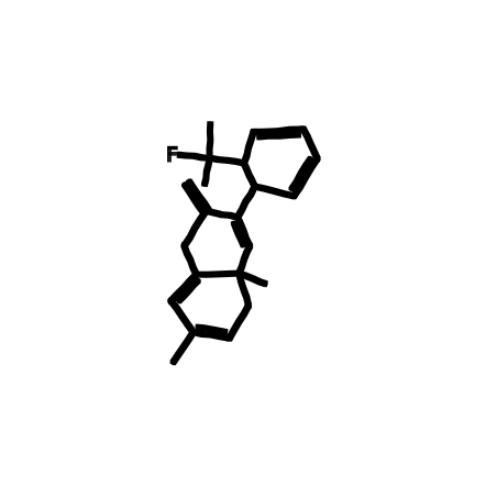 C=C1CC2=CC(C)=CCC2(C)C=C1C1C=CC=CC1C(C)(C)F